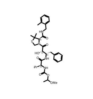 COC(C)OC(=O)N[C@H](C(=O)N[C@@H](Cc1ccccc1)[C@H](O)C(=O)N1CSC(C)(C)[C@H]1C(=O)NCc1ccccc1C)C(C)C